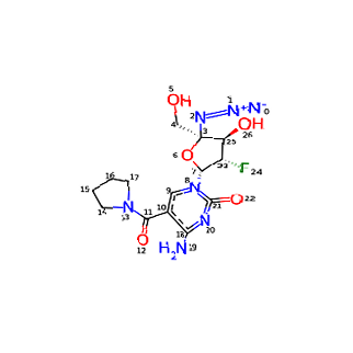 [N-]=[N+]=N[C@]1(CO)O[C@@H](n2cc(C(=O)N3CCCC3)c(N)nc2=O)[C@@H](F)[C@@H]1O